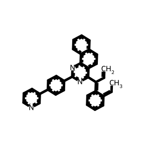 C=C/C(c1nc(-c2ccc(-c3cccnc3)cc2)nc2c1ccc1ccccc12)=c1/cccc/c1=C/C